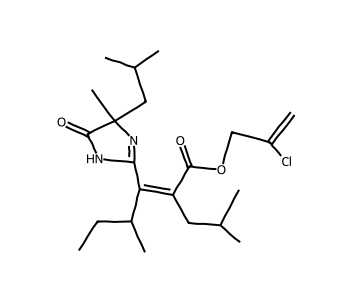 C=C(Cl)COC(=O)C(CC(C)C)=C(C1=NC(C)(CC(C)C)C(=O)N1)C(C)CC